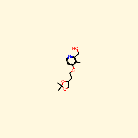 Cc1c(OCCC2COC(C)(C)O2)ccnc1CO